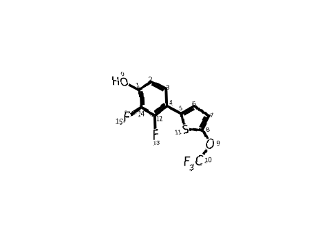 Oc1ccc(-c2ccc(OC(F)(F)F)s2)c(F)c1F